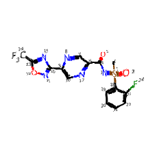 CS(=O)(=NC(=O)c1cnc(-c2noc(C(F)(F)F)n2)cn1)c1ccccc1F